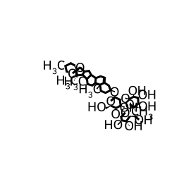 C[C@@H]1CC[C@@]2(OC1)OC1CC3C4CC=C5C[C@@H](O[C@@H]6O[C@H](CO)[C@@H](O[C@@H]7O[C@@H](CO)[C@H](O)[C@H]7O)[C@H](O)[C@H]6O[C@@H]6O[C@@H](C)[C@H](O)[C@@H](O)[C@H]6O)CC[C@]5(C)C4CC[C@]3(C)C1[C@@H]2C